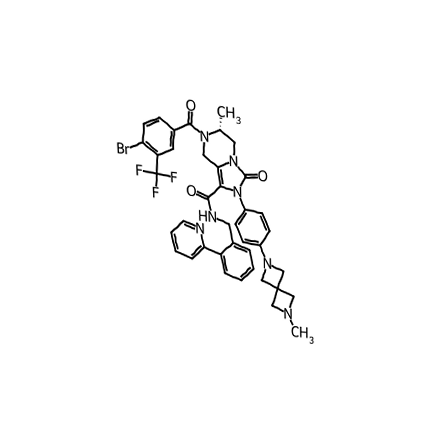 C[C@@H]1Cn2c(c(C(=O)NCc3ccccc3-c3ccccn3)n(-c3ccc(N4CC5(CN(C)C5)C4)cc3)c2=O)CN1C(=O)c1ccc(Br)c(C(F)(F)F)c1